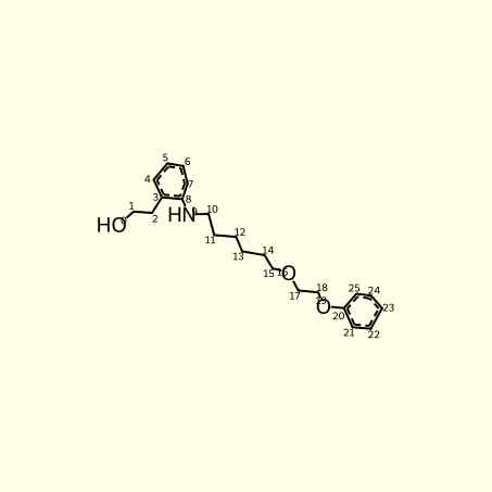 OCCc1ccccc1NCCCCCCOCCOc1ccccc1